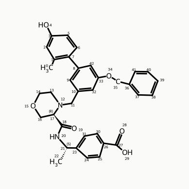 Cc1cc(O)ccc1-c1cc(CN2CCOC[C@@H]2C(=O)N[C@@H](C)c2ccc(C(=O)O)cc2)cc(OCc2ccccc2)c1